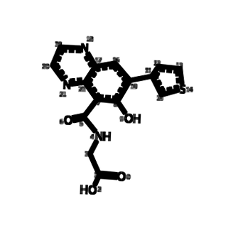 O=C(O)CNC(=O)c1c(O)c(-c2ccsc2)cc2nccnc12